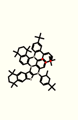 CC1CC(C(C)(C)C)=CC=C1N1c2cc(C(C)(C)C)cc3c2B(c2ccc4c(c2N3c2ccc(C(C)(C)C)cc2-c2cc#ccc2)C(C)(C)CCC4(C)C)c2c1sc1cc3c(cc21)C(C)(C)CCC3(C)C